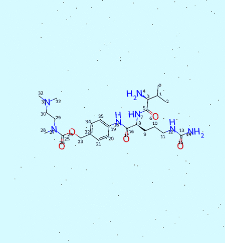 CC(C)[C@H](N)C(=O)N[C@@H](CCCNC(N)=O)C(=O)Nc1ccc(COC(=O)N(C)CCN(C)C)cc1